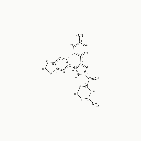 N#Cc1ccc(-c2cc(C(=O)N3CCCC(N)C3)nn2-c2ccc3c(c2)CCC3)cc1